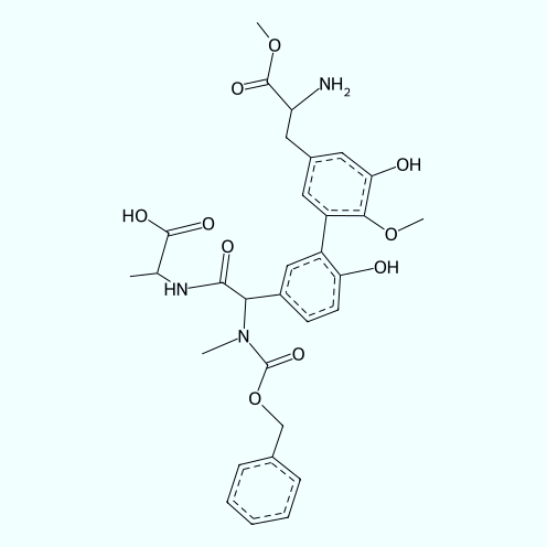 COC(=O)C(N)Cc1cc(O)c(OC)c(-c2cc(C(C(=O)NC(C)C(=O)O)N(C)C(=O)OCc3ccccc3)ccc2O)c1